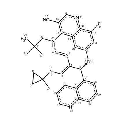 CC1(N/C=C(\N=N)[C@@H](Nc2cc(Cl)c3ncc(C#N)c(NCC(C)(C)C(F)(F)F)c3c2)c2cccc3ncccc23)CC1